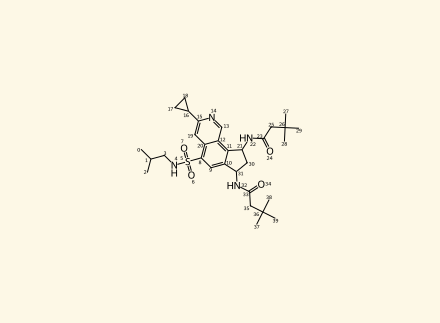 CC(C)CNS(=O)(=O)c1cc2c(c3cnc(C4CC4)cc13)C(NC(=O)CC(C)(C)C)CC2NC(=O)CC(C)(C)C